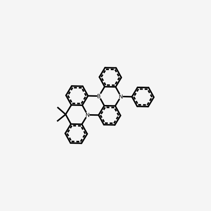 CC1(C)c2ccccc2N2c3cccc4c3B(c3ccccc3N4c3ccccc3)c3cccc1c32